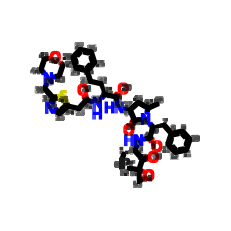 CC(C)C[C@H](NC(=O)[C@H](Cc1ccccc1)N1C(=O)[C@@H](NC(=O)[C@H](CCc2ccccc2)NC(=O)Cc2cnc(CN3CCOCC3)s2)CC1C)C(=O)C1(C)CO1